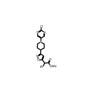 COC(=O)C(c1cc(C2CCN(c3cnc(Cl)nc3)CC2)no1)C(C)C